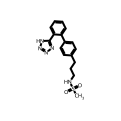 CS(=O)(=O)NCCCc1ccc(-c2ccccc2-c2nnn[nH]2)cc1